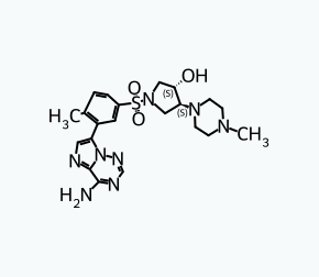 Cc1ccc(S(=O)(=O)N2C[C@H](O)[C@@H](N3CCN(C)CC3)C2)cc1-c1cnc2c(N)ncnn12